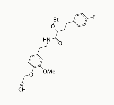 C#CCOc1ccc(CCNC(=O)C(CCc2ccc(F)cc2)OCC)cc1OC